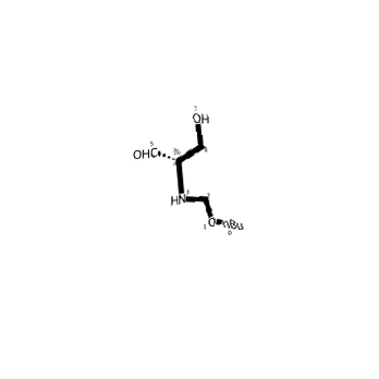 CCCCOCN[C@H](C=O)CO